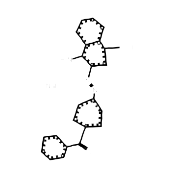 Nc1c(N=Nc2ccc(C(=O)c3ccccc3)cc2)cc(S(=O)(=O)O)c2ccccc12.[NaH]